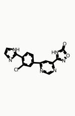 O=c1[nH]c(-c2cc(-c3ccc(-c4ncc[nH]4)c(Cl)c3)ncn2)no1